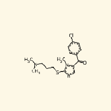 CN(C)CCCSc1ncc(C(=O)c2ccc(Cl)cc2)n1C